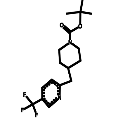 CC(C)(C)OC(=O)N1CCC(Cc2ccc(C(F)(F)F)cn2)CC1